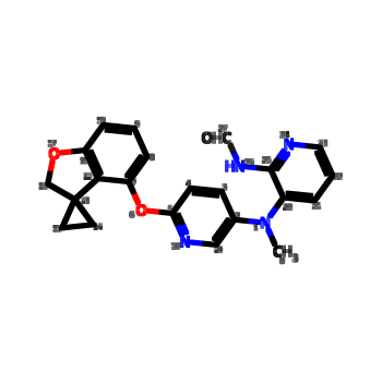 CN(c1ccc(Oc2cccc3c2C2(CC2)CO3)nc1)c1cccnc1NC=O